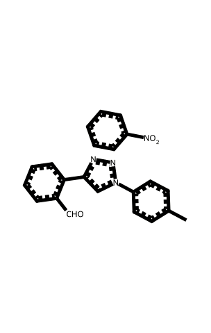 Cc1ccc(-n2cc(-c3ccccc3C=O)nn2)cc1.O=[N+]([O-])c1ccccc1